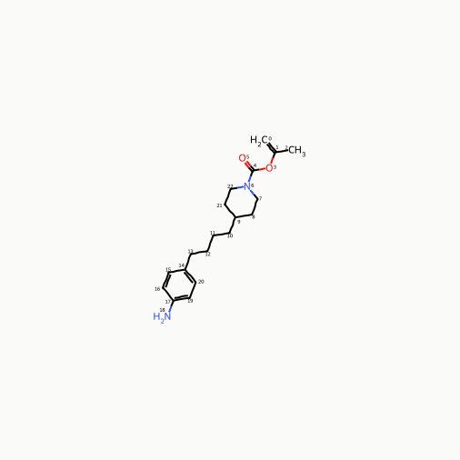 C=C(C)OC(=O)N1CCC(CCCCc2ccc(N)cc2)CC1